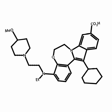 CCN(CCN1CCC(OC)CC1)c1cccc2c1OCCn1c-2c(C2CCCCC2)c2ccc(C(=O)O)cc21